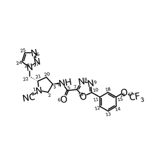 N#CN1C[C@H](NC(=O)c2nnc(-c3cccc(OC(F)(F)F)c3)o2)C[C@H]1Cn1ccnn1